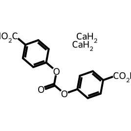 O=C(Oc1ccc(C(=O)O)cc1)Oc1ccc(C(=O)O)cc1.[CaH2].[CaH2]